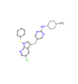 CC1CCC(Nc2ncc(Cc3cn(Sc4ccccc4)c4ncc(Cl)cc34)cn2)CC1